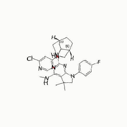 CNc1nc(NC2[C@@H]3CC[C@H]2CN(c2cc(Cl)ncn2)C3)nc2c1C(C)(C)CN2c1ccc(F)cc1